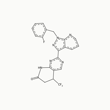 O=C1CC(C(F)(F)F)c2cnc(-c3nn(Cc4ccccc4F)c4ncccc34)nc2N1